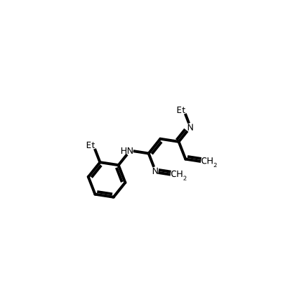 C=CC(/C=C(\N=C)Nc1ccccc1CC)=N/CC